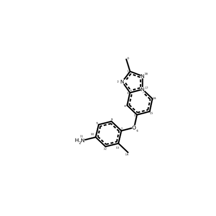 Cc1nc2cc(Oc3ccc(N)cc3C)ccn2n1